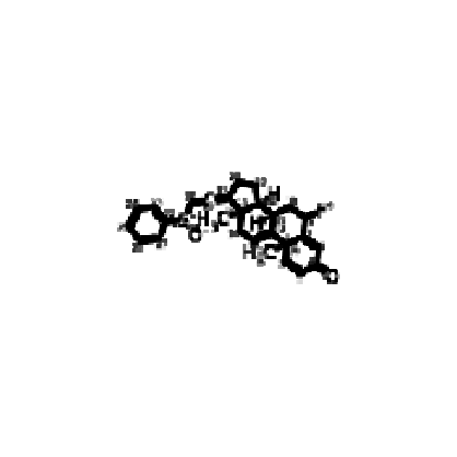 C[C@]12C=CC(=O)C=C1C(F)C[C@@H]1C2=CC[C@]2(C)C(=C=C[S+]([O-])c3ccccc3)CC[C@@H]12